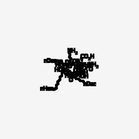 CCCCCC/C=C\CCCCCCCC(=O)C(O)(CO)C(SC[C@H](NC(=O)CCCCCCCCCCCCCCC)C(=O)N[C@@H](CO)C(=O)N[C@@H](CCC(N)=O)C(=O)N[C@@H](CCC(=O)O)C(=O)N[C@@H](C)C(=O)N[C@@H](CCCCN)C(=O)O)C(=O)CCCCCCCCCCCCCCC